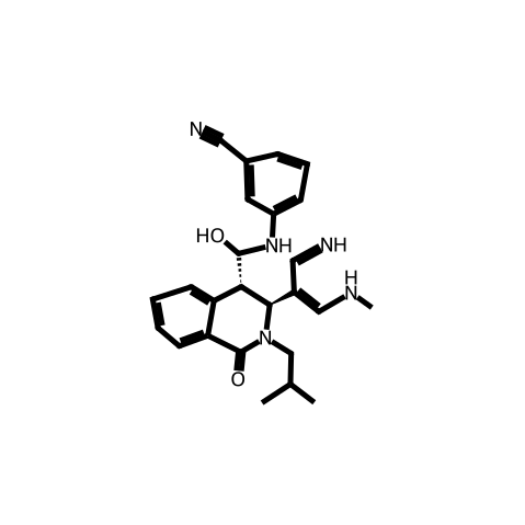 CN/C=C(\C=N)[C@@H]1[C@@H](C(O)Nc2cccc(C#N)c2)c2ccccc2C(=O)N1CC(C)C